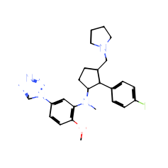 COc1ccc(-n2cnnn2)cc1N(C)C1CCC(CN2CCCC2)C1c1ccc(F)cc1